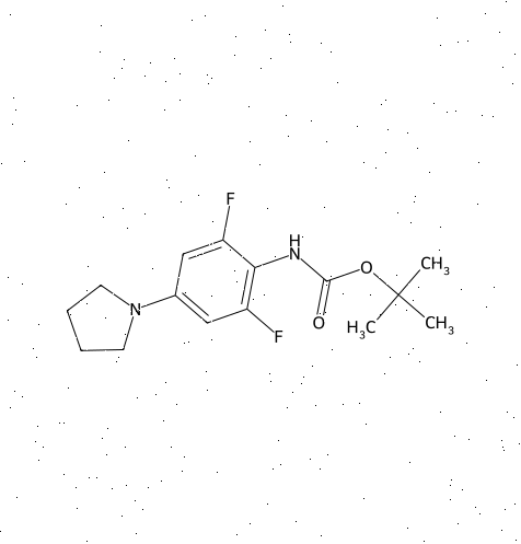 CC(C)(C)OC(=O)Nc1c(F)cc(N2CCCC2)cc1F